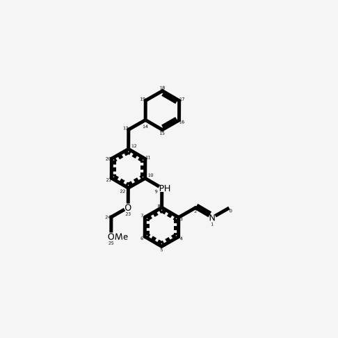 C/N=C/c1ccccc1Pc1cc(CC2C=CC=CC2)ccc1OCOC